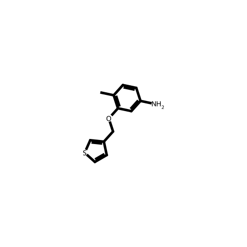 Cc1ccc(N)cc1OCc1ccsc1